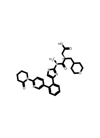 CN(C(=O)[C@@H](CC(=O)O)CC1CCOCC1)c1nc(-c2ccccc2-c2ccc(N3CCCCC3=O)nc2)cs1